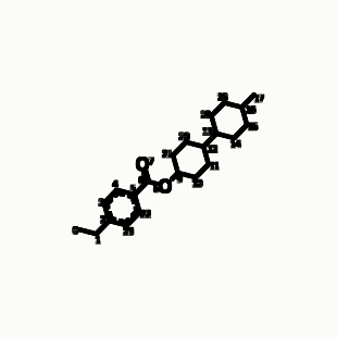 CCc1ccc(C(=O)OC2CCC(C3CCC(C)CC3)CC2)cc1